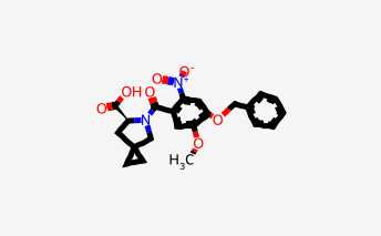 COc1cc(C(=O)N2CC3(CC3)C[C@H]2C(=O)O)c([N+](=O)[O-])cc1OCc1ccccc1